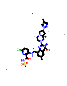 Cc1cc([C@@H](C)Nc2ccc(Cl)nc2C(=O)NS(C)(=O)=O)c2nc(N3CCN4C[C@H](n5cc(C)cn5)C[C@H]4C3)n(C)c(=O)c2c1